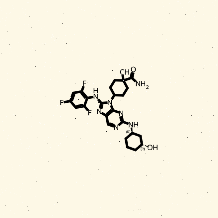 CC1(C(N)=O)CCC(n2c(Nc3c(F)cc(F)cc3F)nc3cnc(N[C@@H]4CCC[C@@H](O)C4)nc32)CC1